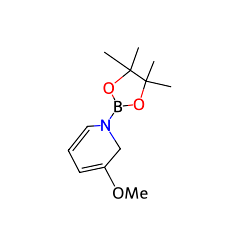 COC1=CC=CN(B2OC(C)(C)C(C)(C)O2)C1